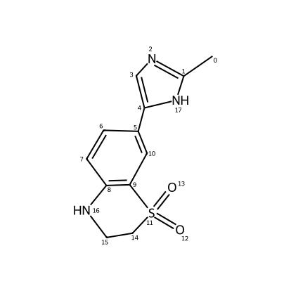 Cc1ncc(-c2ccc3c(c2)S(=O)(=O)CCN3)[nH]1